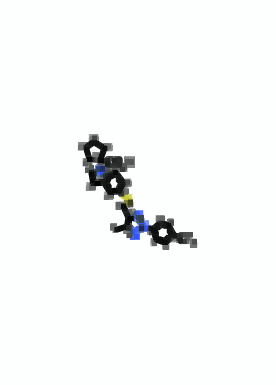 Cc1nn(-c2ccc(C(F)(F)F)cc2)nc1CSc1ccc2c(ccn2C2(C(=O)O)CCCC2)c1